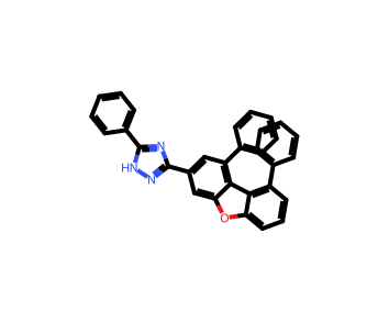 c1ccc(-c2nc(-c3cc(-c4ccccc4)c4c(c3)oc3cccc(-c5ccccc5)c34)n[nH]2)cc1